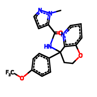 Cn1nccc1C(=O)NC1(c2ccc(OC(F)(F)F)cc2)CCOc2cccnc21